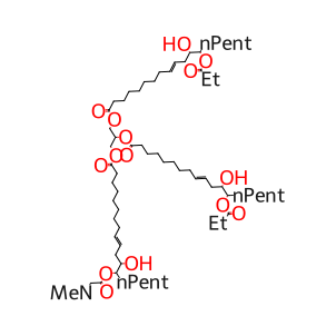 CCCCCC(OC(=O)CC)C(O)CC=CCCCCCCCC(=O)OCC(COC(=O)CCCCCCCC=CCC(O)C(CCCCC)OC(=O)CNC)OC(=O)CCCCCCCC=CCC(O)C(CCCCC)OC(=O)CC